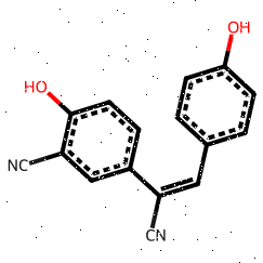 N#CC(=Cc1ccc(O)cc1)c1ccc(O)c(C#N)c1